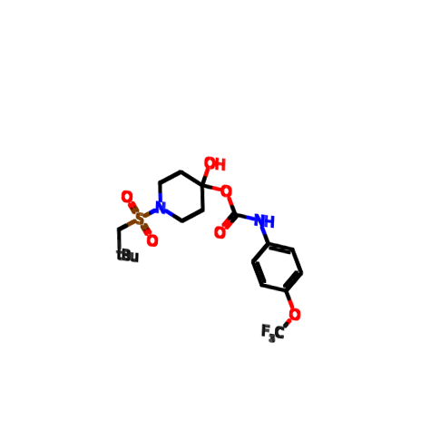 CC(C)(C)CS(=O)(=O)N1CCC(O)(OC(=O)Nc2ccc(OC(F)(F)F)cc2)CC1